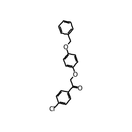 O=C(COc1ccc(OCc2ccccc2)cc1)c1ccc(Cl)cc1